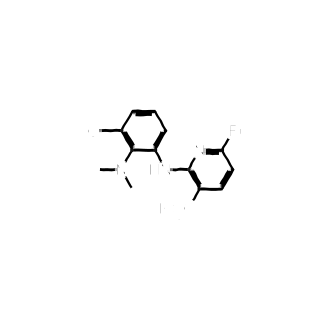 CCc1ccc(C(=O)O)c(Nc2cccc(Cl)c2N(C)C)n1